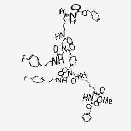 COC(=O)[C@H](CCCCNC(=O)CN(CC(=O)NCCc1ccc(F)cc1)C(=O)c1cccc(C(=O)N(CC(=O)NCCCC[C@H](NC(=O)OCc2ccccc2)C(C)C)CC(=O)NCCc2ccc(F)cc2)c1)NC(=O)OCc1ccccc1